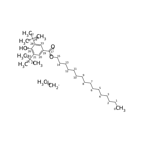 CCCCCCCCCCCCCCCCOC(=O)c1cc(C(C)(C)C)c(O)c(C(C)(C)C)c1.[CH2]C